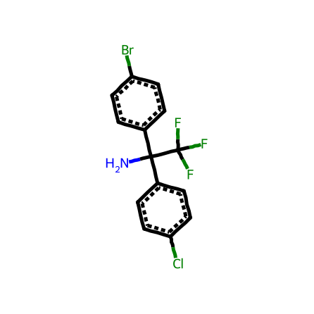 NC(c1ccc(Cl)cc1)(c1ccc(Br)cc1)C(F)(F)F